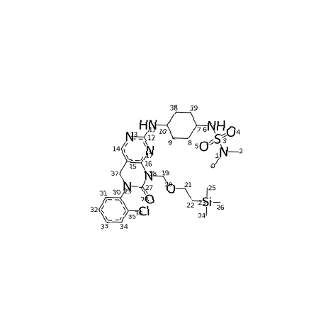 CN(C)S(=O)(=O)NC1CCC(Nc2ncc3c(n2)N(COCC[Si](C)(C)C)C(=O)N(c2ccccc2Cl)C3)CC1